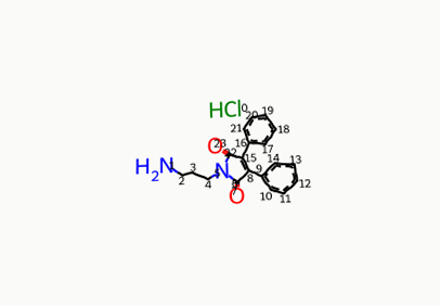 Cl.NCCCN1C(=O)C(c2ccccc2)=C(c2ccccc2)C1=O